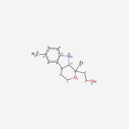 CCC1(CCO)OCCC2c3cc(C)ccc3NC21